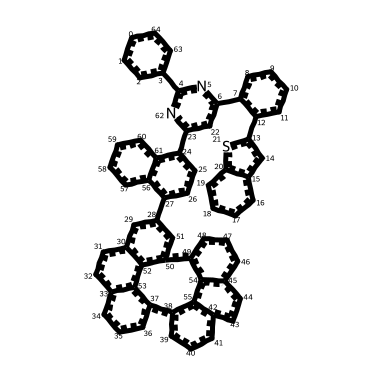 c1ccc(-c2nc(-c3ccccc3-c3cc4ccccc4s3)cc(-c3ccc(-c4cc5ccc6cccc7c8cccc9ccc%10cccc(c(c4)c5c67)c%10c98)c4ccccc34)n2)cc1